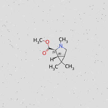 COC(=O)[C@@H]1[C@@H]2C(CN1C)C2(C)C